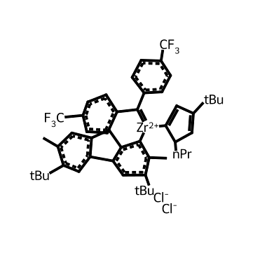 CCCC1C=C(C(C)(C)C)C=[C]1[Zr+2](=[C](c1ccc(C(F)(F)F)cc1)c1ccc(C(F)(F)F)cc1)[c]1c(C)c(C(C)(C)C)cc2c1Cc1cc(C)c(C(C)(C)C)cc1-2.[Cl-].[Cl-]